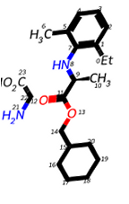 CCc1cccc(C)c1N[C@@H](C)C(=O)OCC1CCCCC1.NCC(=O)O